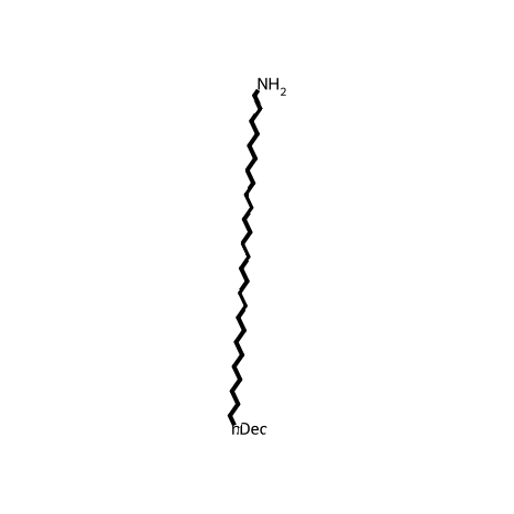 CCCCCCCCCCCCCCCCCCCCCCCCCCCCCCCCCCCCCN